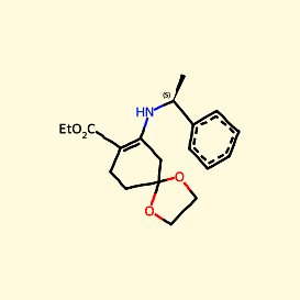 CCOC(=O)C1=C(N[C@@H](C)c2ccccc2)CC2(CC1)OCCO2